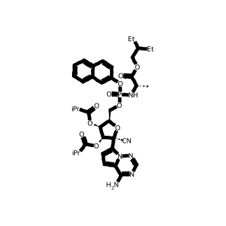 CCC(CC)COC(=O)[C@H](C)NP(=O)(OC[C@H]1O[C@@](C#N)(c2ccc3c(N)ncnn23)[C@H](OC(=O)C(C)C)[C@@H]1OC(=O)C(C)C)Oc1ccc2ccccc2c1